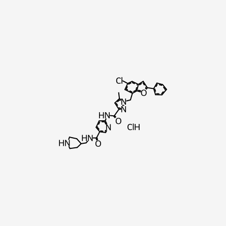 Cc1cc(C(=O)Nc2ccc(C(=O)NCC3CCNCC3)cn2)nn1Cc1cc(Cl)cc2cc(-c3ccccc3)oc12.Cl